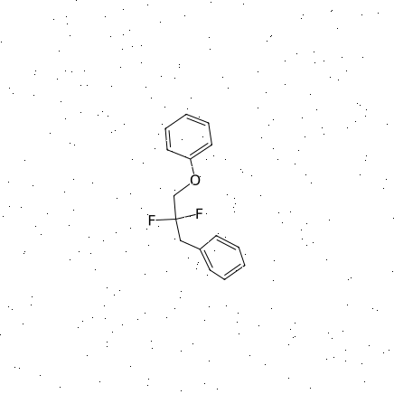 FC(F)(COc1ccccc1)Cc1ccccc1